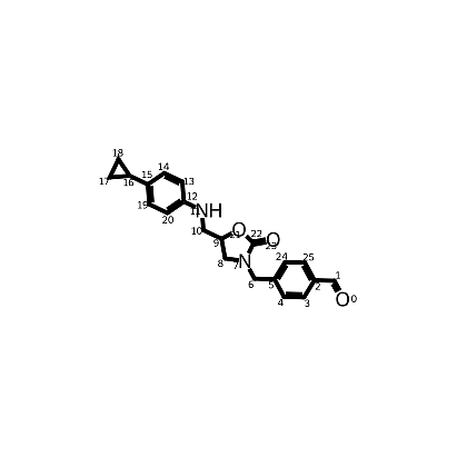 O=Cc1ccc(CN2CC(CNc3ccc(C4CC4)cc3)OC2=O)cc1